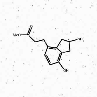 COC(=O)CCc1ccc(O)c2c1CC(N)C2